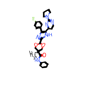 CC1(C(=O)Nc2ccccc2)COC(c2nc(-c3ccc(F)cc3)c(-c3ccnc(N4CCCC4)n3)[nH]2)OC1